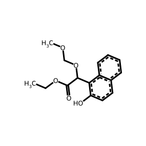 CCOC(=O)C(OCOC)c1c(O)ccc2ccccc12